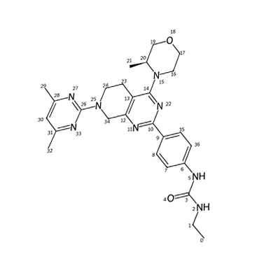 CCNC(=O)Nc1ccc(-c2nc3c(c(N4CCOC[C@@H]4C)n2)CCN(c2nc(C)cc(C)n2)C3)cc1